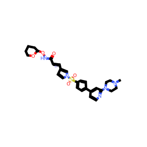 CN1CCN(c2cc(-c3ccc(S(=O)(=O)n4ccc(/C=C/C(=O)NOC5CCCCO5)c4)cc3)ccn2)CC1